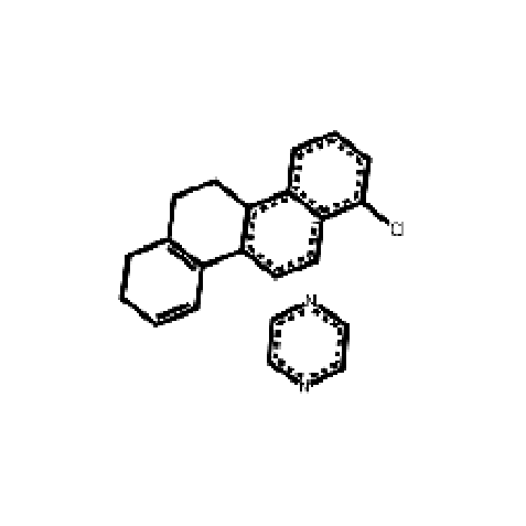 Clc1cccc2c3c(ccc12)C1=C(CCC=C1)CC3.c1cnccn1